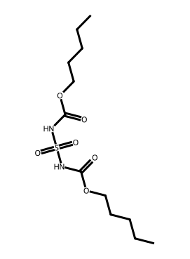 CCCCCOC(=O)NS(=O)(=O)NC(=O)OCCCCC